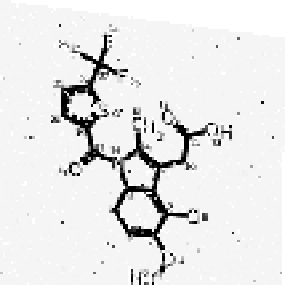 COC1=CCC2C(=C1Cl)C(CC(=O)O)=C(C)N2C(=O)c1ccc(C(F)(F)F)s1